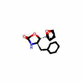 O=C1N[C@H](CC2CCCCC2)[C@@H](c2ccco2)O1